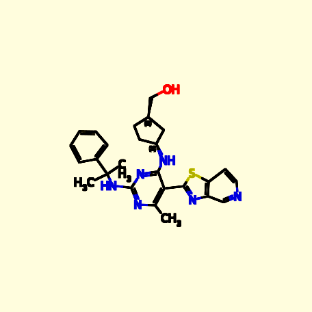 Cc1nc(NC(C)(C)c2ccccc2)nc(N[C@H]2CC[C@@H](CO)C2)c1-c1nc2cnccc2s1